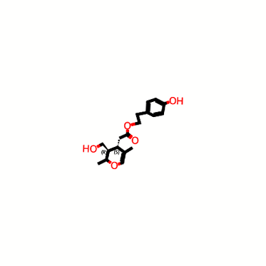 CC1=COC(C)[C@@H](CO)[C@@H]1CC(=O)OCCc1ccc(O)cc1